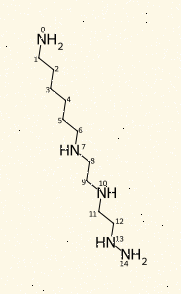 NCCCCCCNCCNCCNN